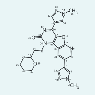 Cn1cc(-c2cnc3oc4c(-c5cnn(C)c5)nc(=O)n(CCC5CCCCO5)c4c3c2)cn1